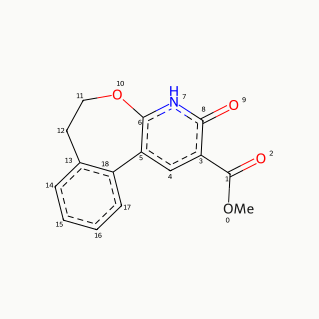 COC(=O)c1cc2c([nH]c1=O)OCCc1ccccc1-2